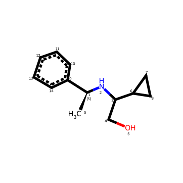 C[C@H](NC(CO)C1CC1)c1ccccc1